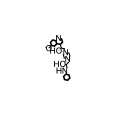 COc1ccc2nccc([C@@H](O)CN3CCN(C[C@@H](O)CNc4ccccc4)CC3)c2c1